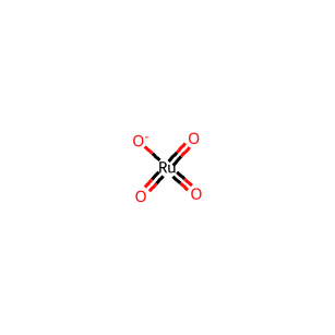 [O]=[Ru](=[O])(=[O])[O-]